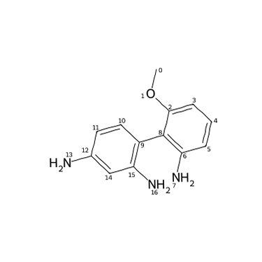 COc1cccc(N)c1-c1ccc(N)cc1N